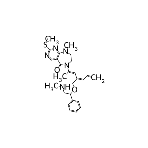 C=C/C=C(\C=C(/C)N1CCN(C)c2nc(SC)ncc2C1=O)COC(CNC)c1ccccc1